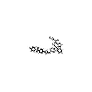 COC(=O)N[C@H]1CCC[C@@H]1C(C#N)(c1ccccc1)C1CCN(CC2CN(c3ccc(S(=O)(=O)c4ccc(F)cc4)cc3)C2)CC1